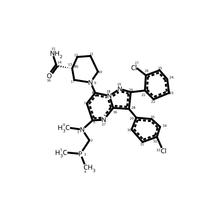 CN(CP(C)C)c1cc(N2CCC[C@@H](C(N)=O)C2)n2nc(-c3ccccc3Cl)c(-c3ccc(Cl)cc3)c2n1